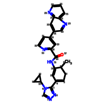 CC1CC=C(c2nncn2C2CC2)C=C1NC(=O)c1cc(-c2cnc3cccnc3c2)ccn1